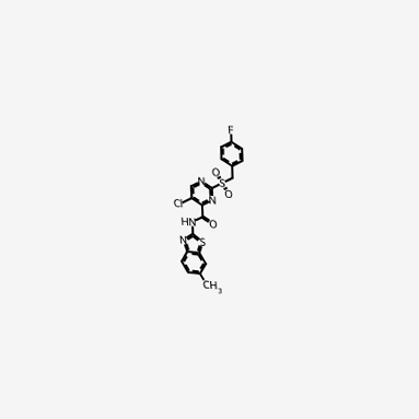 Cc1ccc2nc(NC(=O)c3nc(S(=O)(=O)Cc4ccc(F)cc4)ncc3Cl)sc2c1